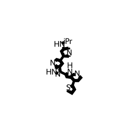 CC(C)Nc1cncc(-c2cnc3[nH]nc(-c4cc5c(-c6cccs6)ccnc5[nH]4)c3c2)c1